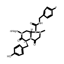 CCCCCCCN1C[C@H]2N(C(=O)CN(C)N2C(=O)NCc2ccc(F)cc2)[C@@H](Cc2ccc(O)cc2)C1=O